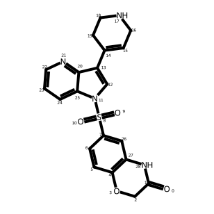 O=C1COc2ccc(S(=O)(=O)n3cc(C4=CCNCC4)c4ncccc43)cc2N1